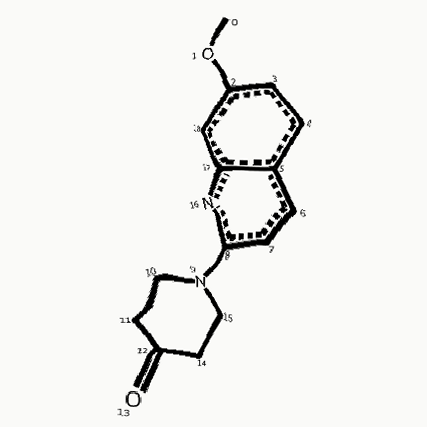 COc1ccc2ccc(N3CCC(=O)CC3)nc2c1